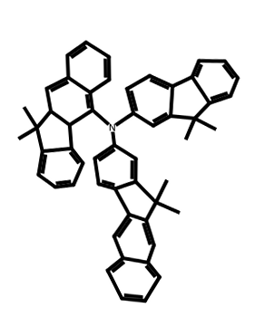 CC1(C)c2ccccc2-c2ccc(N(C3=c4ccccc4=CC4C3c3ccccc3C4(C)C)c3ccc4c(c3)C(C)(C)c3cc5ccccc5cc3-4)cc21